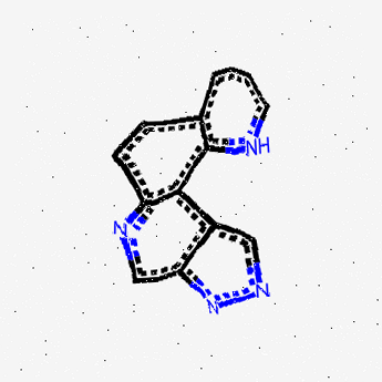 c1c[nH]c2c(c1)ccc1ncc3nncc3c12